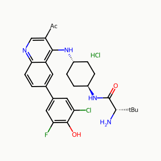 CC(=O)c1cnc2ccc(-c3cc(F)c(O)c(Cl)c3)cc2c1N[C@H]1CC[C@H](NC(=O)[C@@H](N)C(C)(C)C)CC1.Cl